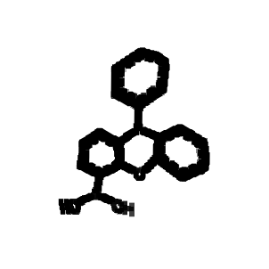 OB(O)c1cccc2c1Oc1ccccc1P2c1ccccc1